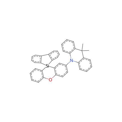 CC1(C)c2ccccc2N(c2ccc3c(c2)[Si]2(c4ccccc4O3)c3ccccc3-c3ccccc32)c2ccccc21